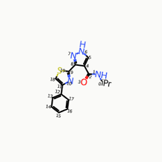 CC(C)NC(=O)c1c[nH]nc1-c1nc(-c2ccccc2)cs1